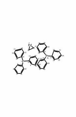 [CH2]1[CH2][Pd]1.c1ccc(P(c2ccccc2)c2ccccc2)cc1.c1ccc(P(c2ccccc2)c2ccccc2)cc1